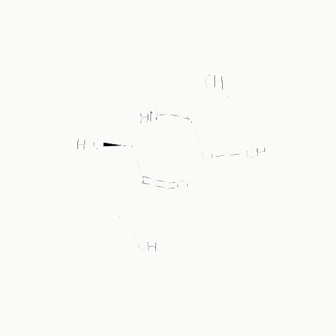 C=C(N[C@H](C)C(=O)CC)OC